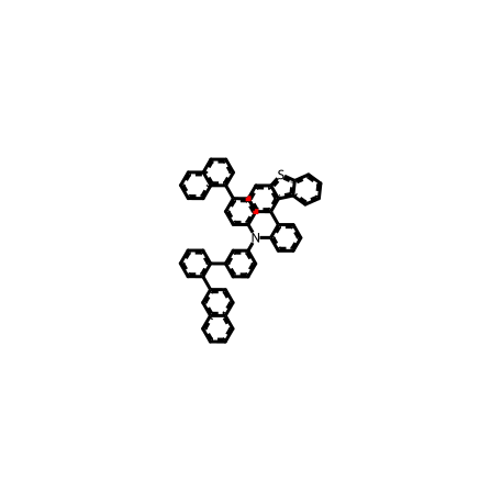 c1cc(-c2ccccc2-c2ccc3ccccc3c2)cc(N(c2ccc(-c3cccc4ccccc34)cc2)c2ccccc2-c2cccc3sc4ccccc4c23)c1